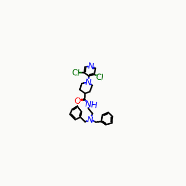 O=C(NCCN(Cc1ccccc1)Cc1ccccc1)C1CCN(c2c(Cl)cncc2Cl)CC1